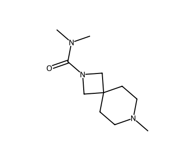 CN1CCC2(CC1)CN(C(=O)N(C)C)C2